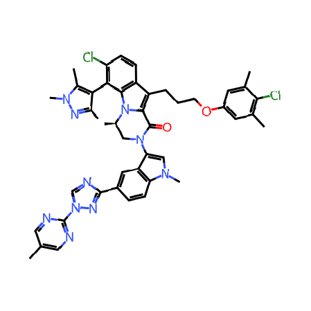 Cc1cnc(-n2cnc(-c3ccc4c(c3)c(N3C[C@@H](C)n5c(c(CCCOc6cc(C)c(Cl)c(C)c6)c6ccc(Cl)c(-c7c(C)nn(C)c7C)c65)C3=O)cn4C)n2)nc1